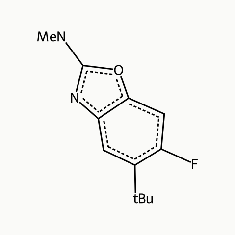 CNc1nc2cc(C(C)(C)C)c(F)cc2o1